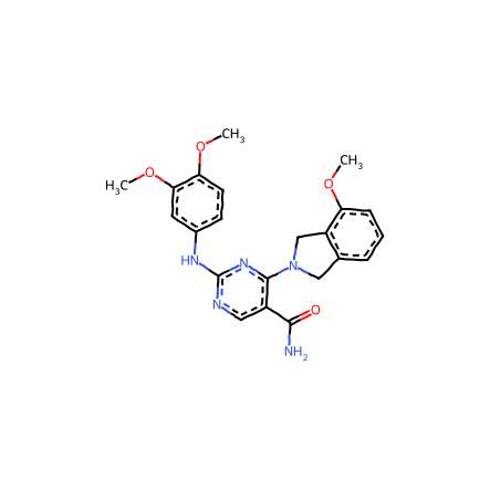 COc1ccc(Nc2ncc(C(N)=O)c(N3Cc4cccc(OC)c4C3)n2)cc1OC